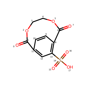 O=C1OCCOC(=O)c2ccc1cc2S(=O)(=O)O